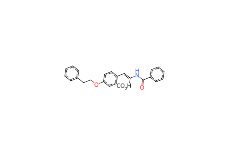 O=C(O)/C(=C\c1ccc(OCCc2ccccc2)cc1)NC(=O)c1ccccc1